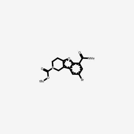 CNC(=O)c1cc(Br)cc2c3c(oc12)CCN(C(=O)OC(C)(C)C)C3